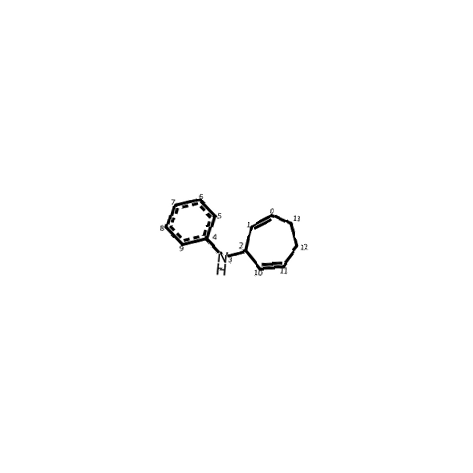 C1=CC(Nc2ccccc2)C=CCC1